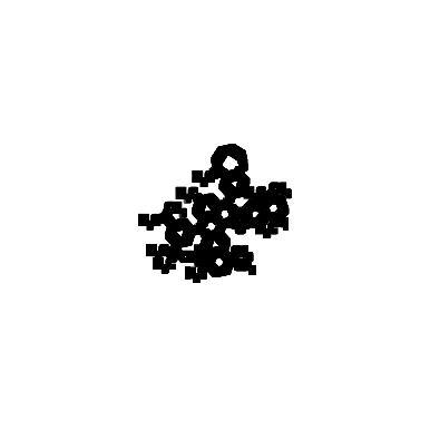 C=C1/C=C\C=C/Sc2ccc(N3c4cc(C)cc5c4B(c4cc6c(cc4N5c4cc(C(C)C)cc(C(C)(C)C)c4)C(C)(C)CCC6(C)C)c4oc5cc6c(cc5c43)C(C)(C)CCC6(C)I)cc21